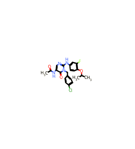 CC(=O)Nc1cnc(Nc2ccc(OC(C)C)c(F)c2)n(Cc2ccc(Cl)cc2)c1=O